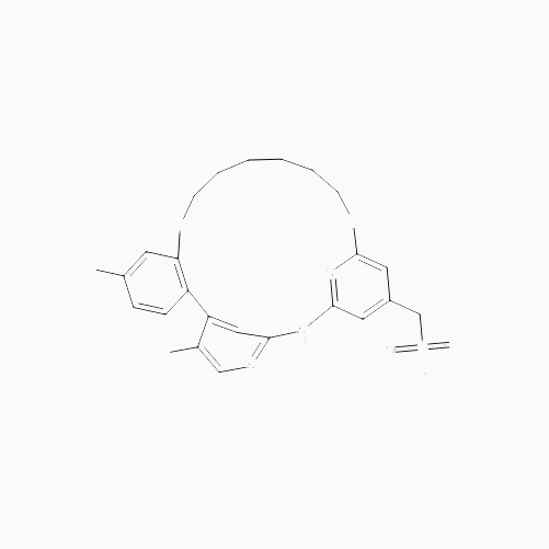 C[S@@](=N)(=O)Cc1cc2nc(c1)OCCCCCCOc1cc(F)ccc1-c1cc(ncc1F)N2